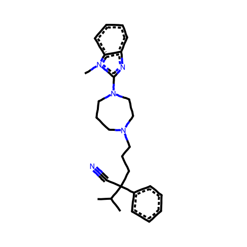 CC(C)C(C#N)(CCCN1CCCN(c2nc3ccccc3n2C)CC1)c1ccccc1